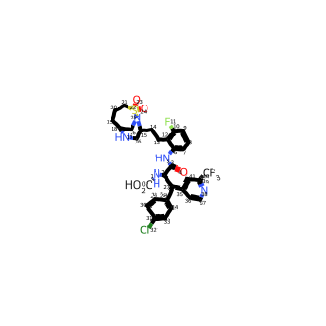 O=C(O)NC(C(=O)Nc1cccc(F)c1CCC1CNC2CCCS(=O)(=O)N1C2)C(c1ccc(Cl)cc1)c1ccnc(C(F)(F)F)c1